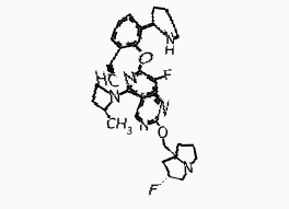 C#Cc1cccc(C2CCCN2)c1Oc1nc(N2CC[C@@H]2C)c2cnc(OC[C@@]34CCCN3C[C@H](F)C4)nc2c1F